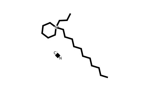 CCCCCCCCCCC[N+]1(CCC)CCCCC1.[C-]#N